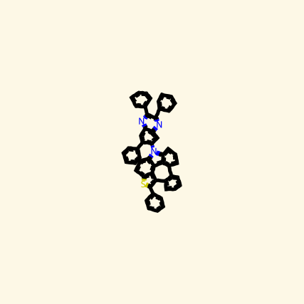 c1ccc(-c2cc3nc(-c4ccccc4)c(-c4ccccc4)nc3cc2-n2c3cccc4c3c3c5c(c(-c6ccccc6)sc5ccc32)-c2ccccc2-4)cc1